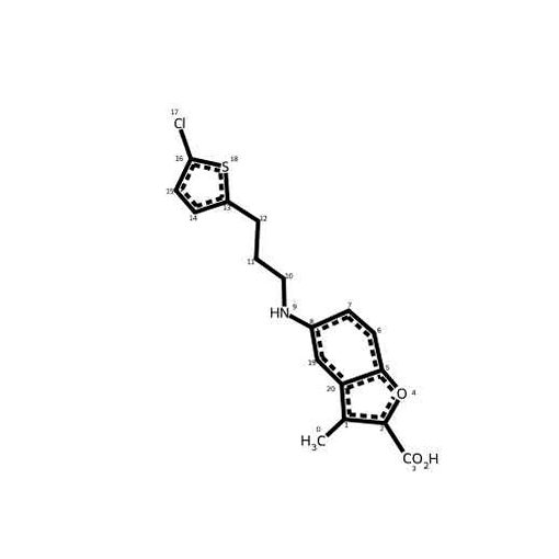 Cc1c(C(=O)O)oc2ccc(NCCCc3ccc(Cl)s3)cc12